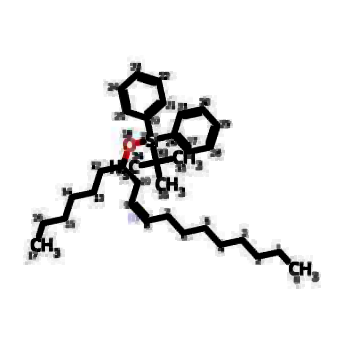 CCCCCCCC/C=C\C[C@@H](CCCCCC)O[Si](c1ccccc1)(c1ccccc1)C(C)(C)C